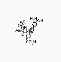 COC(=O)C(C)C1CN(CC(=O)O)CCC1N1CCN(c2ccc(C(=N)N)cc2)CC1.O=C(O)C(F)(F)F